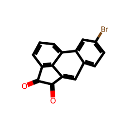 O=C1C(=O)c2cc3ccc(Br)cc3c3cccc1c23